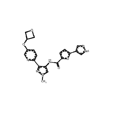 Cn1cc(NC(=O)c2ccc(-c3cn[nH]c3)o2)c(-c2ccc(OC3COC3)cn2)n1